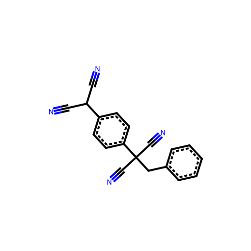 N#CC(C#N)c1ccc(C(C#N)(C#N)Cc2ccccc2)cc1